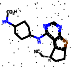 N#CC[C@H]1CCc2sc3ncnc(NC4CCC(NC(=O)O)CC4)c3c21